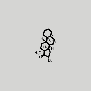 CC[C@H]1C[C@H]2[C@@H]3CC[C@@H]4CCCC[C@]4(C)[C@H]3CC[C@]2(C)C1=O